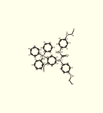 CCOc1ccc(NC(=S)Nc2ccc(OCC)cc2)cc1.COc1ccccc1[PH](c1ccccc1)(c1ccccc1)c1ccccc1